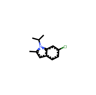 Cc1cc2ccc(Cl)cc2n1C(C)C